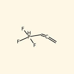 C=C=C[PH](F)(F)F